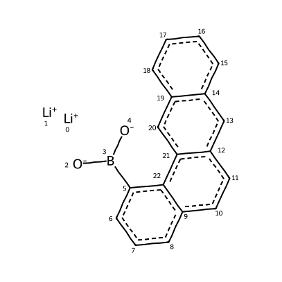 [Li+].[Li+].[O-]B([O-])c1cccc2ccc3cc4ccccc4cc3c12